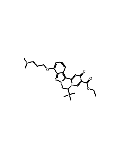 CCOC(=O)c1cn2c(cc1=O)-c1c3cccc(OCCCN(C)C)c3nn1CC2C(C)(C)C